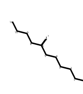 CCCCCCC(I)CCCC